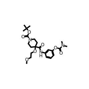 COCCOC1(C(=O)Nc2cccc(OC(=O)N(C)C)c2)CCN(C(=O)OC(C)(C)C)CC1